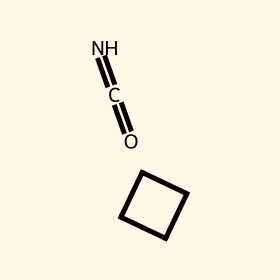 C1CCC1.N=C=O